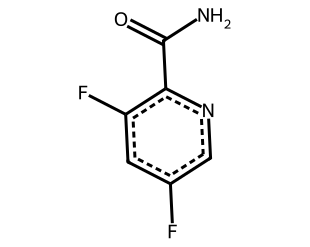 NC(=O)c1ncc(F)cc1F